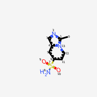 Cc1ncc2cc(S(N)(=O)=O)ccn12